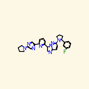 Fc1cccc(C2CCCN2C2=NN3C(=NCC3c3cccc(-c4cnc(N5CCCC5)cn4)n3)C=C2)c1